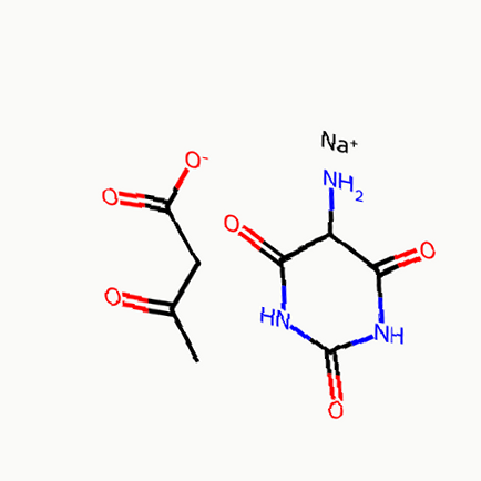 CC(=O)CC(=O)[O-].NC1C(=O)NC(=O)NC1=O.[Na+]